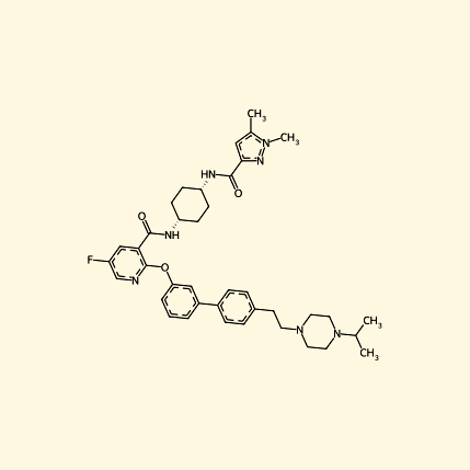 Cc1cc(C(=O)N[C@H]2CC[C@@H](NC(=O)c3cc(F)cnc3Oc3cccc(-c4ccc(CCN5CCN(C(C)C)CC5)cc4)c3)CC2)nn1C